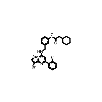 O=C(CC1CCCCC1)Nc1cccc(CNc2cc(-c3ccccc3Cl)nc3c(Br)cnn23)c1